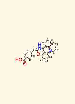 O=C(Cc1ccc(C(=O)O)cc1)NC(c1ccccc1)c1ccccc1N1CCCCC1